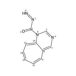 N=NC(=O)N1C=NC=C2C=CC=CC=C21